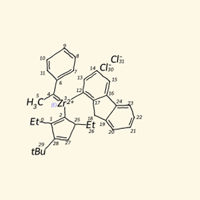 CCC1=[C](/[Zr+2](=[C](\C)c2ccccc2)[c]2cccc3c2Cc2ccccc2-3)C(CC)C=C1C(C)(C)C.[Cl-].[Cl-]